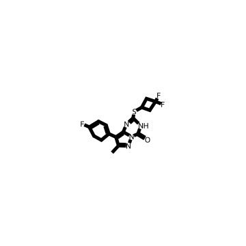 Cc1nn2c(=O)[nH]c(SC3CC(F)(F)C3)nc2c1C1=CC=C(F)CC1